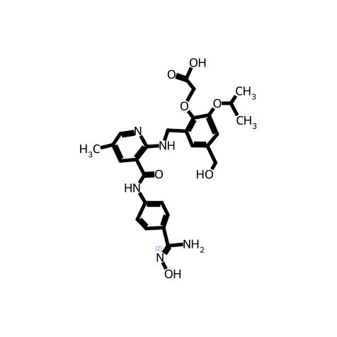 Cc1cnc(NCc2cc(CO)cc(OC(C)C)c2OCC(=O)O)c(C(=O)Nc2ccc(/C(N)=N/O)cc2)c1